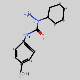 NN(C(=O)Nc1ccc(S(=O)(=O)O)cc1)C1CCCCC1